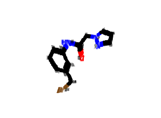 O=C(Cn1cccn1)Nc1cccc(CBr)c1